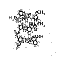 COc1cc(OC)nc(NC(=O)NS(=O)(=O)c2ncccc2C(=O)N(C)C)n1.Nc1c([N+](=O)[O-])ccc(Oc2ccccc2)c1Cl.O=C(Nc1nc(OC(F)F)cc(OC(F)F)n1)NS(=O)(=O)c1ccccc1C(=O)O